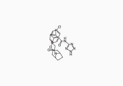 O=C(Nc1nn[nH]n1)c1cc(Cl)ccc1OCC(=O)N1C2CCC1CC(Oc1ccc(F)cc1)C2